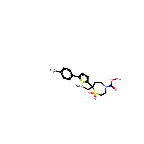 Cc1ccc(-c2ccc(C3(CC(=O)O)CCN(C(=O)OC(C)(C)C)CCS3(=O)=O)s2)cc1